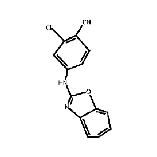 N#Cc1ccc(Nc2nc3ccccc3o2)cc1Cl